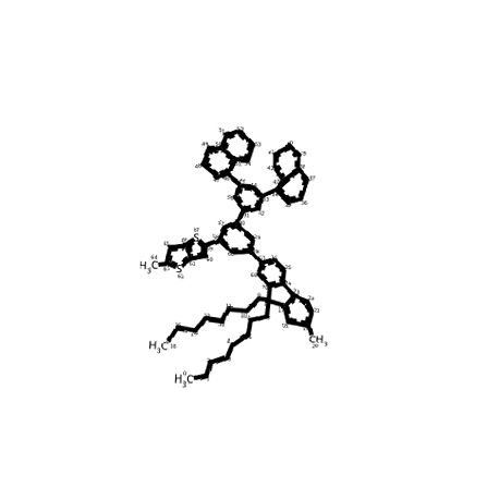 CCCCCCCCC1(CCCCCCCC)c2cc(C)ccc2-c2ccc(-c3cc(-c4cc(-c5cccc6ccccc56)cc(-c5cccc6ccccc56)c4)cc(-c4cc5sc(C)cc5s4)c3)cc21